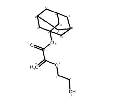 C=C(OCCO)C(=O)OC12CC3CC(CC(C3)C1)C2